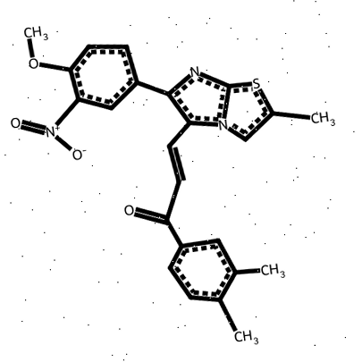 COc1ccc(-c2nc3sc(C)cn3c2C=CC(=O)c2ccc(C)c(C)c2)cc1[N+](=O)[O-]